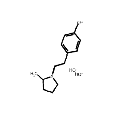 [B+2]c1ccc(CCN2CCCC2C)cc1.[OH-].[OH-]